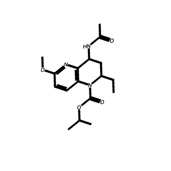 CCC1CC(NC(C)=O)c2nc(OC)ccc2N1C(=O)OC(C)C